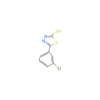 Sc1nnc(-c2cccc(Cl)c2)s1